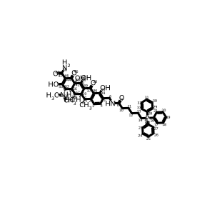 C[C@H]1c2ccc(CNC(=O)CCCCC[PH](c3ccccc3)(c3ccccc3)c3ccccc3)c(O)c2C(=O)C2=C(O)[C@]3(O)C(=O)C(C(N)=O)=C(O)[C@@H](N(C)C)[C@@H]3[C@@H](O)[C@@H]21